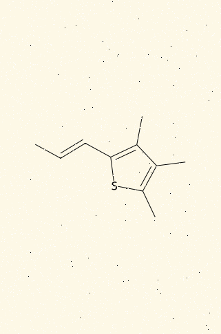 CC=Cc1sc(C)c(C)c1C